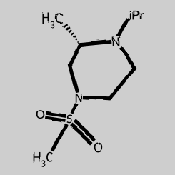 CC(C)N1CCN(S(C)(=O)=O)C[C@@H]1C